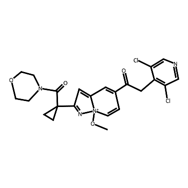 CO[N+]12C=CC(C(=O)Cc3c(Cl)cncc3Cl)=CC1=CC(C1(C(=O)N3CCOCC3)CC1)=N2